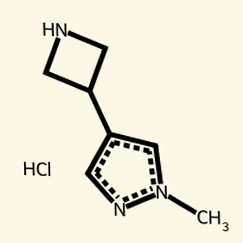 Cl.Cn1cc(C2CNC2)cn1